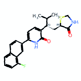 CC(C)[C@H](C[C@H]1SCNC1=O)c1ccc(-c2ccc3cccc(F)c3c2)[nH]c1=O